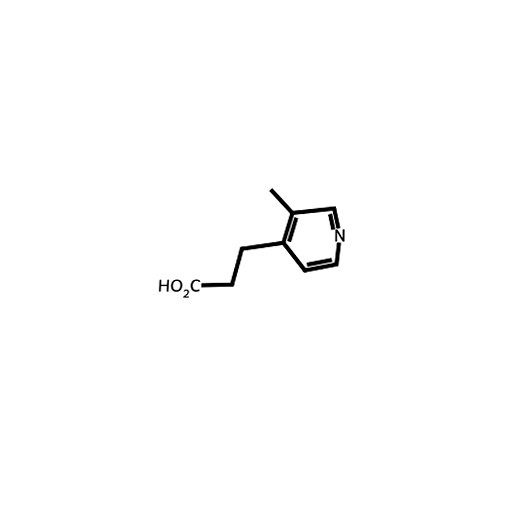 Cc1cnccc1CCC(=O)O